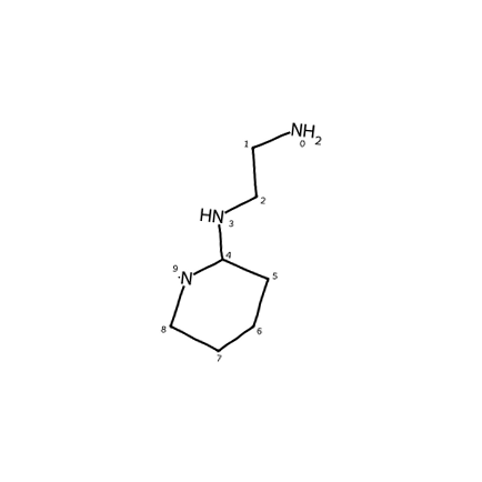 NCCNC1CCCC[N]1